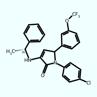 C[C@@H](NC1=CC(c2cccc(OC(F)(F)F)c2)N(c2ccc(Cl)cc2)C1=O)c1ccccc1